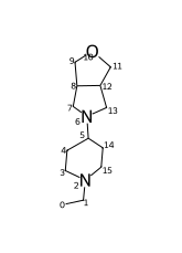 CCN1CCC(N2CC3COCC3C2)CC1